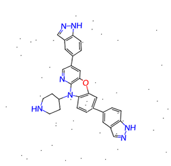 c1cc2c(cc1-c1ccc3[nH]ncc3c1)Oc1cc(-c3ccc4[nH]ncc4c3)cnc1N2C1CCNCC1